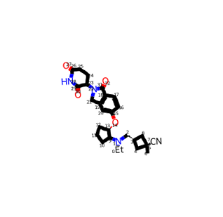 CCN(C[C@H]1C[C@](C)(C#N)C1)C1CCC[C@@H]1Oc1ccc2c(c1)CN(C1CCC(=O)NC1=O)C2=O